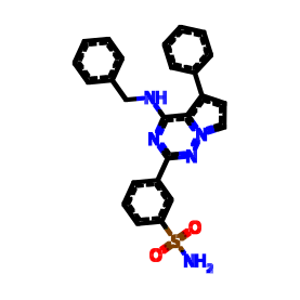 NS(=O)(=O)c1cccc(-c2nc(NCc3ccccc3)c3c(-c4ccccc4)ccn3n2)c1